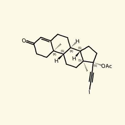 CC(=O)O[C@@]1(C#CI)CC[C@H]2[C@@H]3CCC4=CC(=O)CC[C@]4(C)[C@H]3CC[C@@]21C